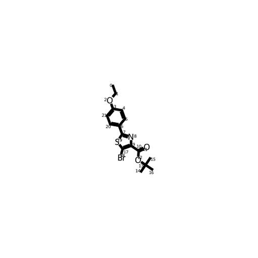 CCOc1ccc(-c2nc(C(=O)OC(C)(C)C)c(Br)s2)cc1